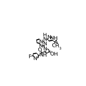 CC1(c2cc(Nc3nc(N4C[C@@H](O)C[C@H]4C(=O)Nc4ccc(F)nc4)nc4cccn34)n[nH]2)CC1